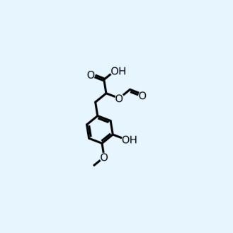 COc1ccc(CC(OC=O)C(=O)O)cc1O